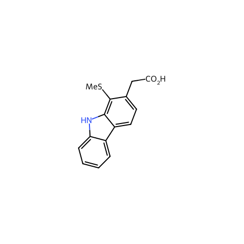 CSc1c(CC(=O)O)ccc2c1[nH]c1ccccc12